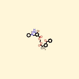 CC(C(=O)OCCOC(=O)c1cc(Br)c(N)c(CNC2CCCCC2)c1)c1cccc(C(=O)c2ccccc2)c1